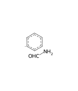 NC=O.[c]1ccccc1